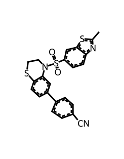 Cc1nc2ccc(S(=O)(=O)N3CCSc4ccc(-c5ccc(C#N)cc5)cc43)cc2s1